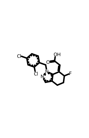 O=C(O)/C=C1\c2c(cnn2Cc2ccc(Cl)cc2Cl)CCC1F